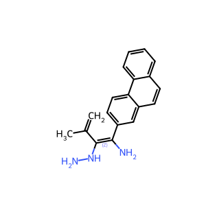 C=C(C)/C(NN)=C(/N)c1ccc2c(ccc3ccccc32)c1